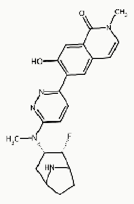 CN(c1ccc(-c2cc3ccn(C)c(=O)c3cc2O)nn1)[C@H]1CC2CCC(N2)[C@H]1F